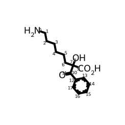 NCCCCCCC(O)(C(=O)O)C(=O)c1ccccc1